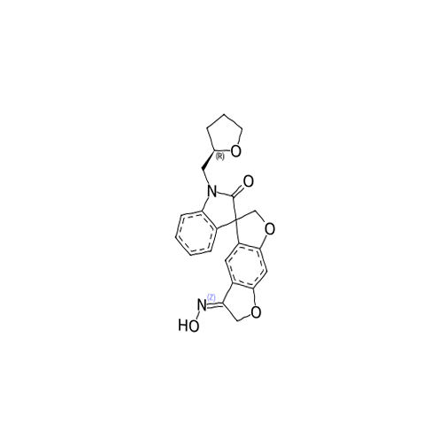 O=C1N(C[C@H]2CCCO2)c2ccccc2C12COc1cc3c(cc12)/C(=N/O)CO3